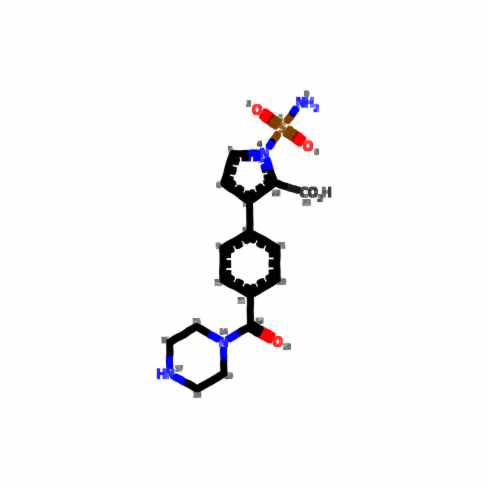 NS(=O)(=O)n1ccc(-c2ccc(C(=O)N3CCNCC3)cc2)c1C(=O)O